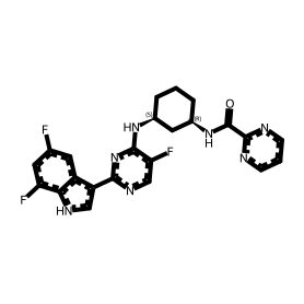 O=C(N[C@@H]1CCC[C@H](Nc2nc(-c3c[nH]c4c(F)cc(F)cc34)ncc2F)C1)c1ncccn1